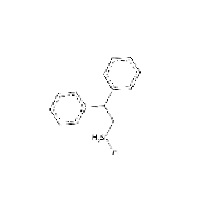 Cl[SiH2]CC(c1ccccc1)c1ccccc1